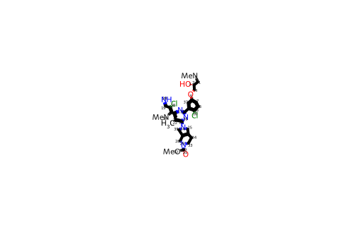 CNC[C@@H](O)COc1ccc(Cl)c(-c2nc(/C(NC)=C(\Cl)C=N)c(C)c(N3CC4=C(CN(C(=O)OC)CC4)C3)n2)c1